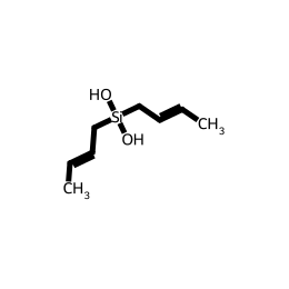 CC=CC[Si](O)(O)CC=CC